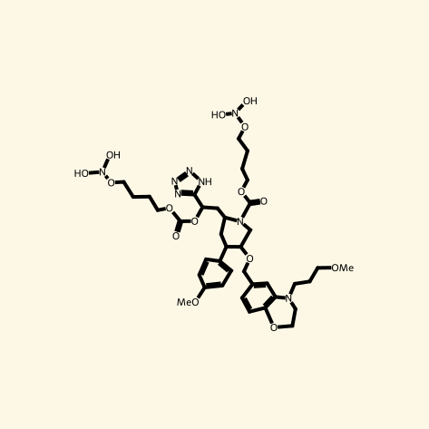 COCCCN1CCOc2ccc(COC3CN(C(=O)OCCCCON(O)O)C(CC(OC(=O)OCCCCON(O)O)c4nnn[nH]4)CC3c3ccc(OC)cc3)cc21